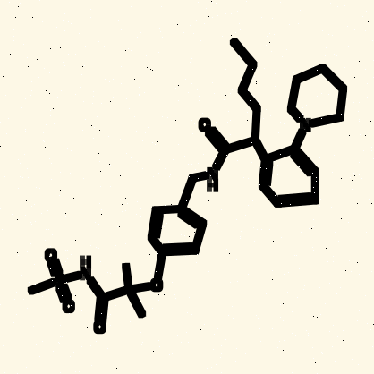 CCCCC(C(=O)NCc1ccc(OC(C)(C)C(=O)NS(C)(=O)=O)cc1)c1ccccc1N1CCCCC1